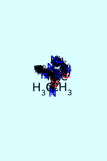 CC(C)(C#N)COc1cc(-c2ccc(C3CC4CC(C4)C3)nc2)c2c(C#N)cnn2c1.COc1ccc(CN2C=CC=NC=C2)cn1